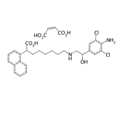 Nc1c(Cl)cc(C(O)CNCCCCCCC(C(=O)O)c2cccc3ccccc23)cc1Cl.O=C(O)/C=C\C(=O)O